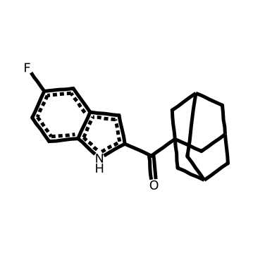 O=C(c1cc2cc(F)ccc2[nH]1)C12CC3CC(CC(C3)C1)C2